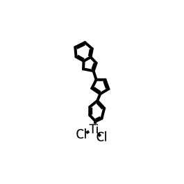 [Cl][Ti]([Cl])[c]1ccc(C2=CC(C3=Cc4ccccc4C3)C=C2)cc1